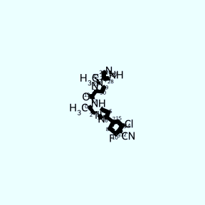 CC(Cn1ccc(-c2cc(F)c(C#N)c(Cl)c2)n1)NC(=O)C1=N[N@+](C)(c2cn[nH]c2)C=C1